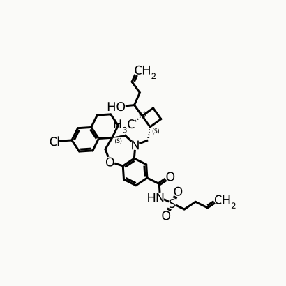 C=CCCS(=O)(=O)NC(=O)c1ccc2c(c1)N(C[C@H]1CC[C@]1(C)C(O)CC=C)C[C@@]1(CCCc3cc(Cl)ccc31)CO2